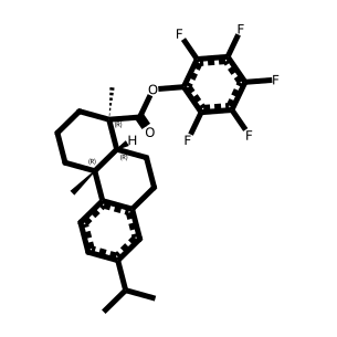 CC(C)c1ccc2c(c1)CC[C@H]1[C@](C)(C(=O)Oc3c(F)c(F)c(F)c(F)c3F)CCC[C@@]21C